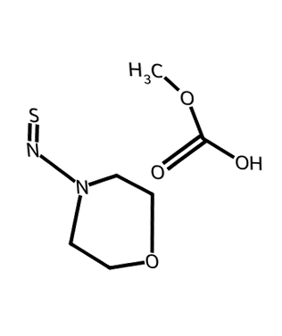 COC(=O)O.S=NN1CCOCC1